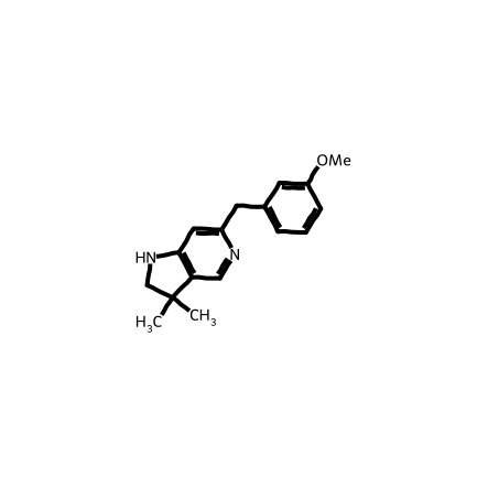 COc1cccc(Cc2cc3c(cn2)C(C)(C)CN3)c1